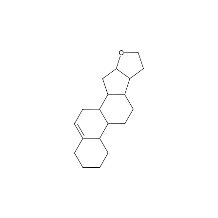 C1=C2CCCCC2C2CCC3C4CCOC4CC3C2C1